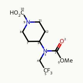 COC(=O)N(CC(F)(F)F)C1CCN(C(=O)O)CC1